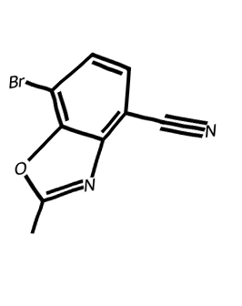 Cc1nc2c(C#N)ccc(Br)c2o1